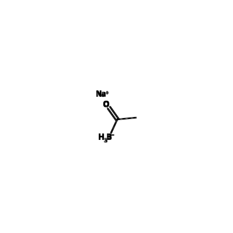 [BH3-]C(C)=O.[Na+]